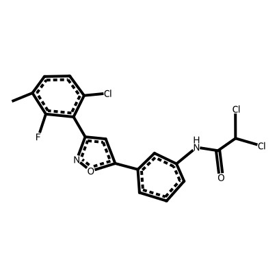 Cc1ccc(Cl)c(-c2cc(-c3cccc(NC(=O)C(Cl)Cl)c3)on2)c1F